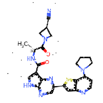 C[C@@H](NC(=O)c1c[nH]c2ncc(-c3cc4nccc(N5CCCC5)c4s3)nc12)C(=O)N1CC(C#N)C1